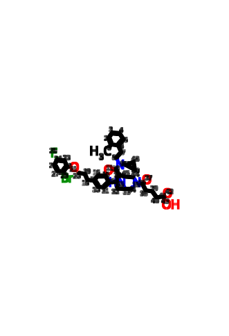 Cc1ccccc1CCN(C(=O)C1=C(c2ccc(CCCOc3cc(F)ccc3Br)cc2)CC2CN(C(=O)CCCC(=O)O)CC1N2)C1CC1